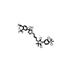 CC1(C)C(=O)N(c2ccc(S(C)(=O)=O)c(Cl)c2)C(=O)N1CC=CCN1CCC(O)(c2ccc(C#N)c(C(F)(F)F)c2)C1